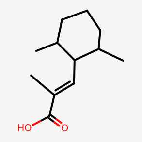 CC(=CC1C(C)CCCC1C)C(=O)O